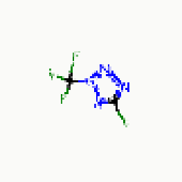 Fc1nnn(C(F)(F)F)n1